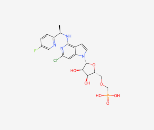 C[C@@H](Nc1nc(Cl)cc2c1ccn2[C@@H]1O[C@H](COCP(=O)(O)O)[C@@H](O)[C@H]1O)c1ccc(F)cn1